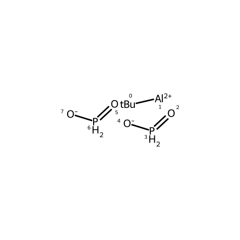 C[C](C)(C)[Al+2].O=[PH2][O-].O=[PH2][O-]